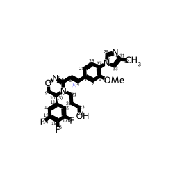 COc1cc(/C=C/C2=NOC[C@H](c3cc(F)c(F)c(F)c3)N2CCCO)ccc1-n1cnc(C)c1